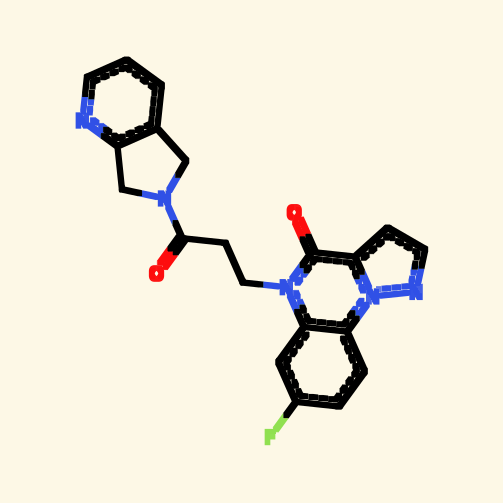 O=C(CCn1c(=O)c2ccnn2c2ccc(F)cc21)N1Cc2cccnc2C1